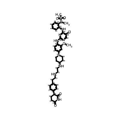 COc1cc(N2CCC(NCCNCCc3ccc(C4CCC(=O)NC4=O)cc3)CC2)ccc1Nc1ncc(Cl)c(Nc2ccccc2N(C)S(C)(=O)=O)n1